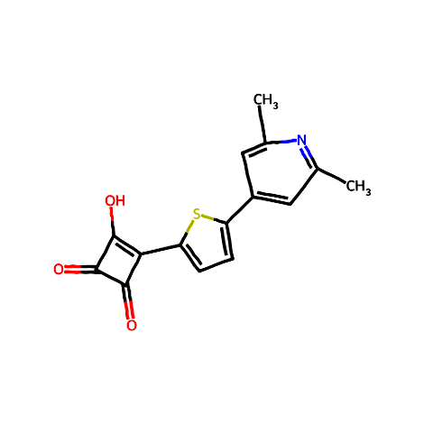 Cc1cc(-c2ccc(-c3c(O)c(=O)c3=O)s2)cc(C)n1